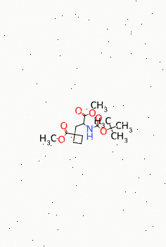 COC(=O)C(CC1(C(=O)OC)CCC1)NC(=O)OC(C)(C)C